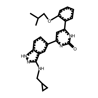 CC(C)COc1ccccc1-c1cc(-c2ccc3[nH]nc(NCC4CC4)c3c2)nc(=O)[nH]1